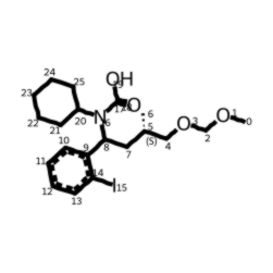 COCOC[C@@H](C)CC(c1ccccc1I)N(C(=O)O)C1CCCCC1